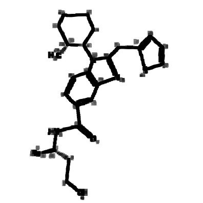 CC[C@H](C)[C@@H](CCO)NC(=O)c1ccc2c(c1)nc(Cc1cccs1)n2C1CCCC[C@H]1C